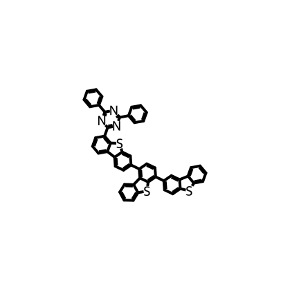 c1ccc(-c2nc(-c3ccccc3)nc(-c3cccc4c3sc3cc(-c5ccc(-c6ccc7sc8ccccc8c7c6)c6sc7ccccc7c56)ccc34)n2)cc1